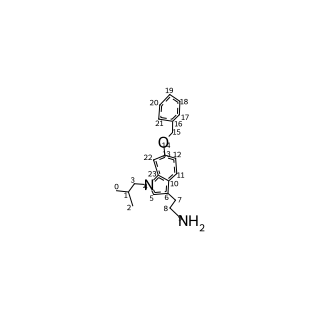 CC(C)Cn1cc(CCN)c2ccc(OCc3ccccc3)cc21